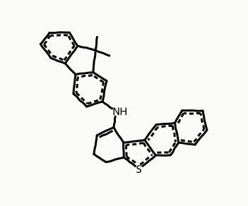 CC1(C)c2ccccc2-c2ccc(NC3=CCCc4sc5cc6ccccc6cc5c43)cc21